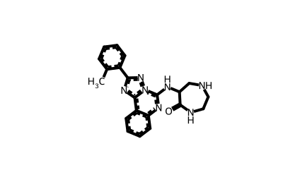 Cc1ccccc1-c1nc2c3ccccc3nc(NC3CNCCNC3=O)n2n1